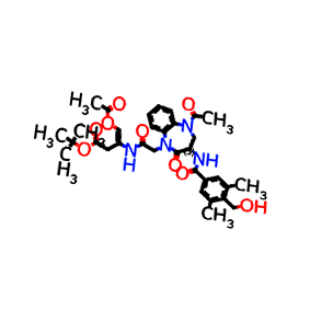 CC(=O)OC=C(CC(=O)OC(C)(C)C)NC(=O)CN1C(=O)[C@@H](NC(=O)c2cc(C)c(CO)c(C)c2)CN(C(C)=O)c2ccccc21